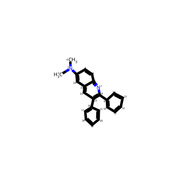 CN(C)c1ccc2nc(-c3ccccc3)c(-c3ccccc3)cc2c1